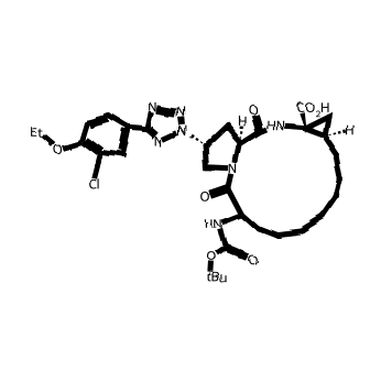 CCOc1ccc(-c2nnn([C@@H]3C[C@H]4C(=O)N[C@]5(C(=O)O)C[C@H]5CCCCCCCC(NC(=O)OC(C)(C)C)C(=O)N4C3)n2)cc1Cl